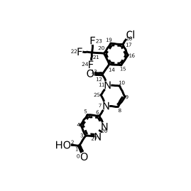 O=C(O)c1ccc(N2C=CCN(C(=O)c3ccc(Cl)cc3C(F)(F)F)C2)nn1